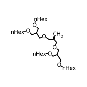 C=C(COCC(COCCCCCC)COCCCCCC)COCC(COCCCCCC)COCCCCCC